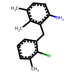 Cc1ccc(N)c(Cc2cccc(C)c2Br)c1C